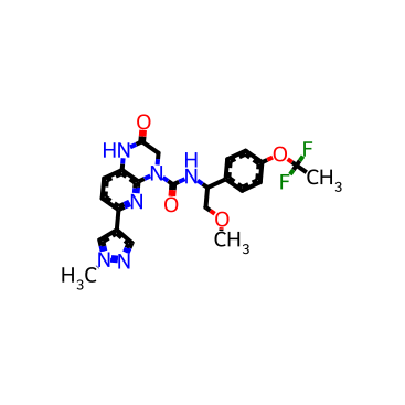 COCC(NC(=O)N1CC(=O)Nc2ccc(-c3cnn(C)c3)nc21)c1ccc(OC(C)(F)F)cc1